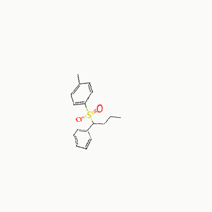 CCCC(c1ccccc1)S(=O)(=O)c1ccc(C)cc1